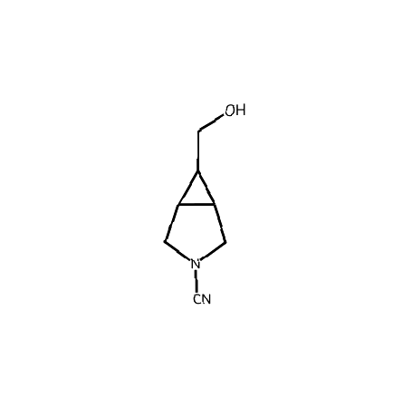 N#CN1CC2C(CO)C2C1